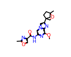 COc1nc(NC(=O)c2coc(C)n2)cn2cc(C34CCC(C)(C3)OC4)nc12